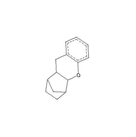 c1ccc2c(c1)CC1C3CCC(C3)C1O2